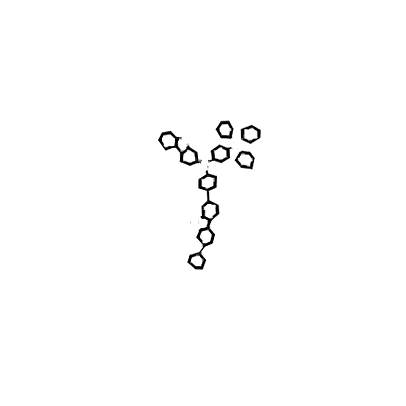 c1ccc(-c2ccc3c(c2)oc2cc(-c4ccc(N(c5ccc([Si](c6ccccc6)(c6ccccc6)c6ccccc6)cc5)c5ccc6c(c5)oc5ccccc56)cc4)ccc23)cc1